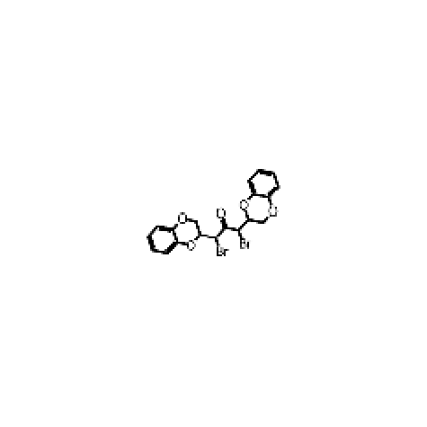 O=C(C(Br)C1COc2ccccc2O1)C(Br)C1COc2ccccc2O1